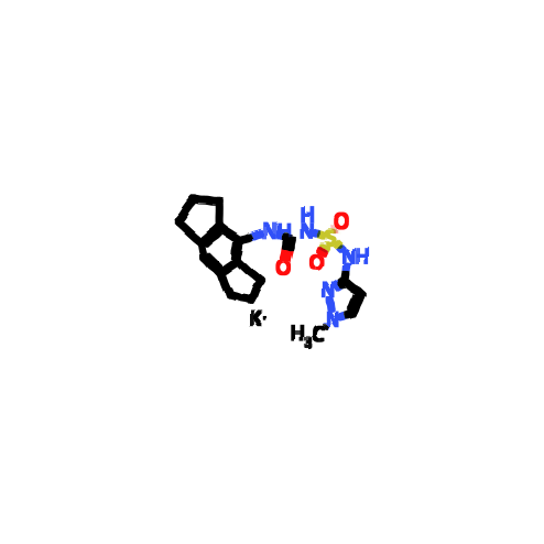 Cn1ccc(NS(=O)(=O)NC(=O)Nc2c3c(cc4c2CCC4)CCC3)n1.[K]